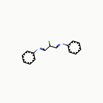 Cl.ClC(C=Nc1ccccc1)C=Nc1ccccc1